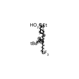 CCOC(Cc1ccc(OCCN(CCCCCCC(F)(F)F)C(=O)NCC(C)(C)C)cc1)C(=O)O